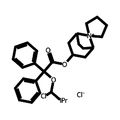 CC(C)C(Cl)OC(C(=O)OC1CC2CCC(C1)[N+]21CCCC1)(c1ccccc1)c1ccccc1.[Cl-]